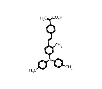 C=C(C(=O)O)c1ccc(C=Cc2ccc(N(c3ccc(C)cc3)c3ccc(C)cc3)cc2C)cc1